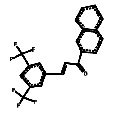 O=C(C=Cc1cc(C(F)(F)F)cc(C(F)(F)F)c1)c1ccc2ccccc2c1